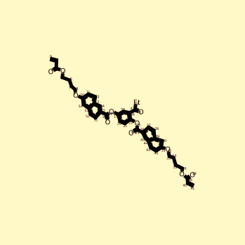 C=CC(=O)OCCCCOc1ccc2cc(C(=O)Oc3ccc(OC(=O)c4ccc5cc(OCCCCOC(=O)C=C)ccc5c4)c(C(=O)CC)c3)ccc2c1